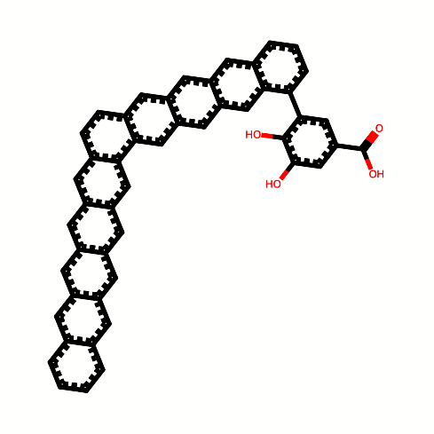 O=C(O)c1cc(O)c(O)c(-c2cccc3cc4cc5cc6ccc7cc8cc9cc%10cc%11ccccc%11cc%10cc9cc8cc7c6cc5cc4cc23)c1